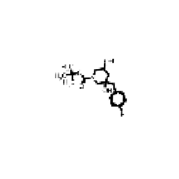 CC(C)(C)OC(=O)N1CC(O)CC(O)(Cc2ccc(F)cc2)C1